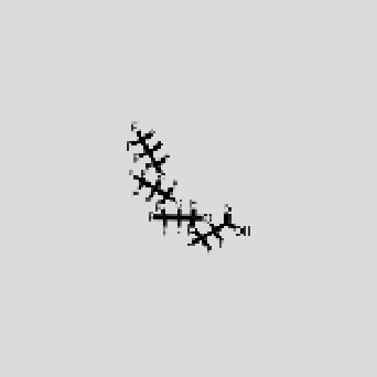 O=C(O)C(F)(OC(F)(F)C(F)(OC(F)(F)C(F)(OC(F)(F)C(F)(F)C(F)(F)F)C(F)(F)F)C(F)(F)F)C(F)(F)F